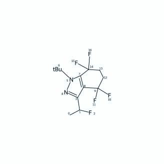 CC(F)c1nn(C(C)(C)C)c2c1C(F)(F)CCC2(F)F